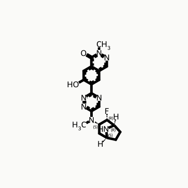 CN(c1cnc(-c2cc3cnn(C)c(=O)c3cc2O)nn1)[C@H]1C[C@@H]2CC[C@@H](N2)[C@H]1F